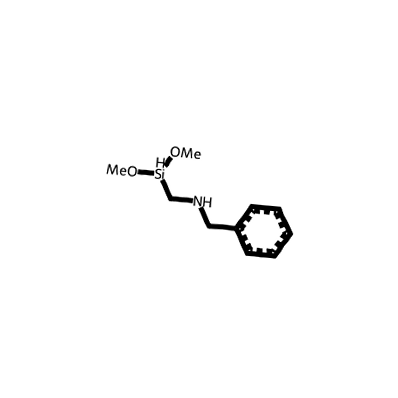 CO[SiH](CNCc1ccccc1)OC